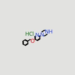 Cl.c1ccc(COc2ccc(N3CCNCC3)nc2)cc1